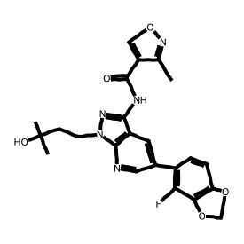 Cc1nocc1C(=O)Nc1nn(CCC(C)(C)O)c2ncc(-c3ccc4c(c3F)OCO4)cc12